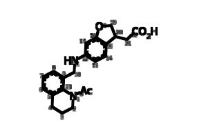 CC(=O)N1CCCc2cccc(CNc3ccc4c(c3)OCC4CC(=O)O)c21